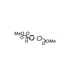 COC(=O)C[C@H]1CC[C@H](c2ccc(NC(=O)C(=O)OC)cc2)CC1